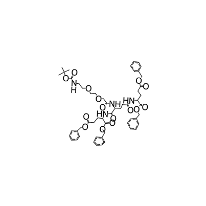 CC(C)(C)OC(=O)NCCOCCOCC(=O)NC(CCC(=O)NC(CCC(=O)OCc1ccccc1)C(=O)OCc1ccccc1)C(=O)NC(CCC(=O)OCc1ccccc1)C(=O)OCc1ccccc1